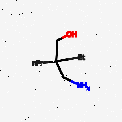 CCCC(CC)(CN)CO